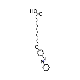 O=C(O)CCCCCCCCCCOc1ccc(/N=N/c2ccccc2)cc1